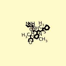 Cc1c(-c2cc(C(=O)NS(=O)(=O)c3ccn[nH]3)c3c(OC(C)C4CCOCC4)ccc(C)c3n2)sc2ccccc12